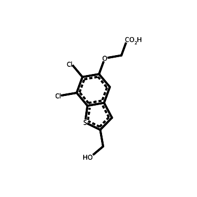 O=C(O)COc1cc2cc(CO)sc2c(Cl)c1Cl